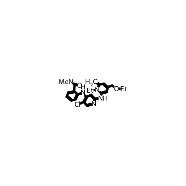 C=C1C=C(COCC)C=C(Nc2cc(Nc3ccccc3C(=O)NC)c(Cl)cn2)N1CC